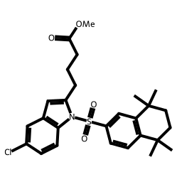 COC(=O)CCCc1cc2cc(Cl)ccc2n1S(=O)(=O)c1ccc2c(c1)C(C)(C)CCC2(C)C